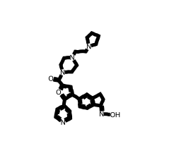 O=C(c1cc(-c2ccc3c(c2)CC/C3=N\O)c(-c2ccncc2)o1)N1CCN(CCN2CCCC2)CC1